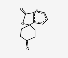 O=C1CCC2(CC1)OC(=O)c1ncccc12